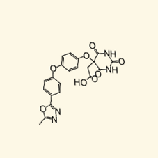 Cc1nnc(-c2ccc(Oc3ccc(OC4(CC(=O)O)C(=O)NC(=O)NC4=O)cc3)cc2)o1